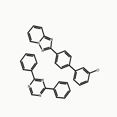 Clc1cccc(-c2ccc(-c3nc4ccccn4n3)cc2)c1.c1ccc(-c2ncnc(-c3ccccc3)n2)cc1